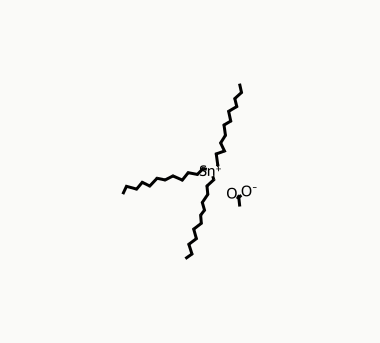 CC(=O)[O-].CCCCCCCCCCC[CH2][Sn+]([CH2]CCCCCCCCCCC)[CH2]CCCCCCCCCCC